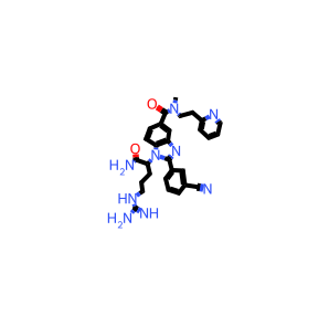 CN(CCc1ccccn1)C(=O)c1ccc2c(c1)nc(-c1cccc(C#N)c1)n2C(CCCNC(=N)N)C(N)=O